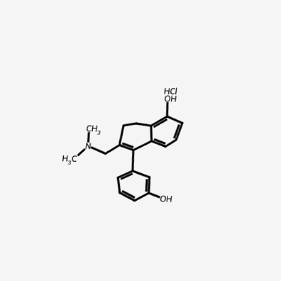 CN(C)CC1=C(c2cccc(O)c2)c2cccc(O)c2CC1.Cl